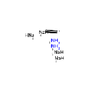 C=C.N.N.[NaH].[NaH].[NaH].[NaH]